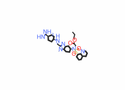 CCCOC(=O)CN(c1ccc2c(c1)nc(CNc1ccc(C(=N)N)cc1)n2C)S(=O)(=O)c1cccc2cccnc12